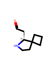 O=CC[C@H]1NCCC12CCC2